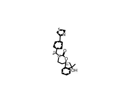 C[C@@H](c1ccc(-c2cscn2)cc1)N1CC[C@](CC(C)(C)O)(c2ccccc2)OC1=O